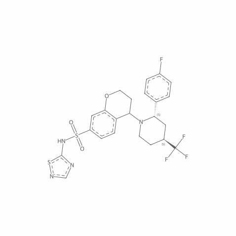 O=S(=O)(Nc1ncns1)c1ccc2c(c1)OCCC2N1CC[C@H](C(F)(F)F)C[C@H]1c1ccc(F)cc1